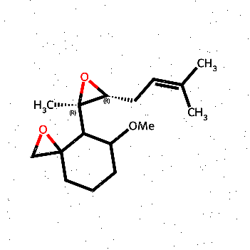 COC1CCCC2(CO2)C1[C@@]1(C)O[C@@H]1CC=C(C)C